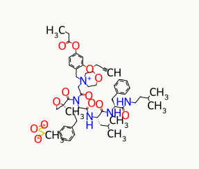 C#CCOc1cc(OC(=O)CC)ccc1C[N+]1(CC(=O)N(C(=O)[C@@]2(C)CO2)[C@@H](CCc2ccccc2)C(=O)N[C@@H](CC(C)C)C(=O)N[C@@H](Cc2ccccc2)C(=O)NCCC(C)C)CCOCC1.CS(=O)(=O)[O-]